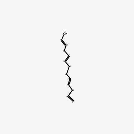 C=CCC=CCCC=CCC=CO